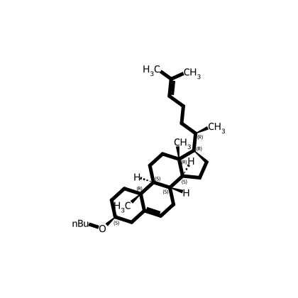 CCCCO[C@H]1CC[C@@]2(C)C(=CC[C@H]3[C@@H]4CC[C@H]([C@H](C)CCC=C(C)C)[C@@]4(C)CC[C@@H]32)C1